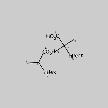 CCCCCC(C)(C)C(=O)O.CCCCCCC(C)C(=O)O